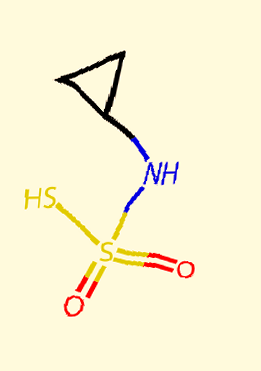 O=S(=O)(S)NC1CC1